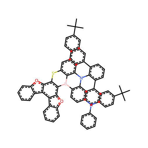 CC(C)(C)c1ccc(-c2cc3c4c(c2)N(c2c(-c5ccccc5)cccc2-c2ccccc2)c2cc(N(c5ccccc5)c5ccc(C(C)(C)C)cc5)ccc2B4c2c(c4oc5ccccc5c4c4c2oc2ccccc24)S3)cc1